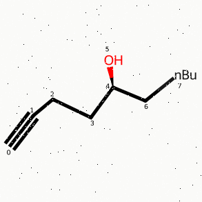 C#CCC[C@@H](O)CCCCC